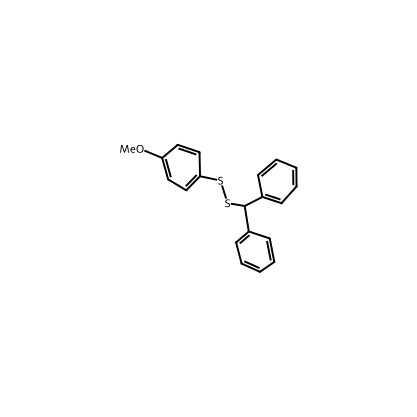 COc1ccc(SSC(c2ccccc2)c2ccccc2)cc1